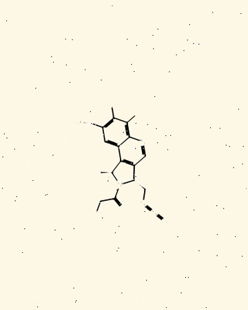 COc1cc2c3c(cnc2c(Cl)c1Cl)[C@@H](CN=[N+]=[N-])N(C(=O)COC(C)=O)[C@H]3C